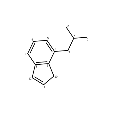 CC(C)Cc1cccc2c1CC=C2